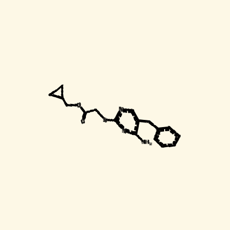 Nc1nc(SCC(=O)OCC2CC2)ncc1Cc1ccccc1